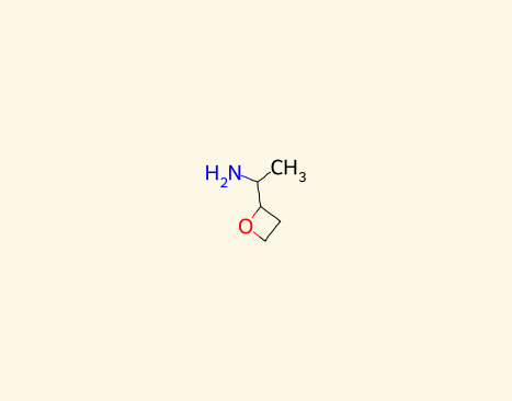 CC(N)C1CCO1